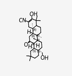 [C-]#[N+]C1=C(O)C(C)(C)C2CC[C@]3(C)[C@H](CC(=O)[C@@H]4[C@@H]5CC(C)(C)CC[C@]5(CO)CC[C@]43C)[C@@]2(C)C1